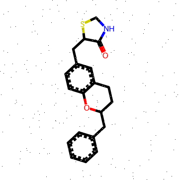 O=C1NCSC1Cc1ccc2c(c1)CCC(Cc1ccccc1)O2